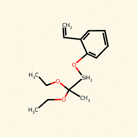 C=Cc1ccccc1O[SiH2]C(C)(OCC)OCC